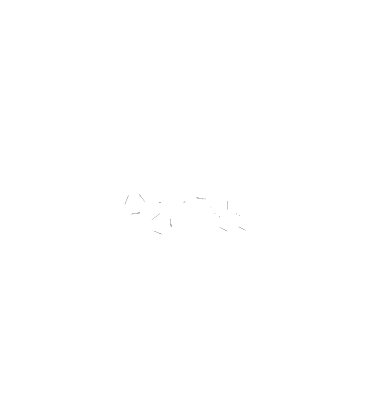 CC(C)(C)[Si](OC[C@H]1C=C(F)[C@@H](n2ccc(=O)[nH]c2=O)S1)(c1ccccc1)c1ccccc1